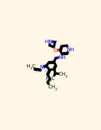 C\C=C/N=C1/C=C(CNC2=CNCC=C2OC2CNC2)C=C(C(C)C)/C1=C\CCC